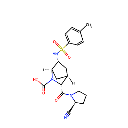 Cc1ccc(S(=O)(=O)N[C@@H]2C[C@@H]3C[C@H]2N(C(=O)O)[C@H]3C(=O)N2CCC[C@H]2C#N)cc1